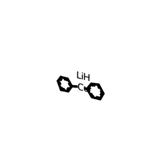 [LiH].c1cc[c]([Cu][c]2ccccc2)cc1